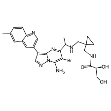 Cc1ccc2ncc(-c3cnn4c(N)c(Br)c(C(C)NCC5(CNC(=O)[C@@H](O)CO)CC5)nc34)cc2c1